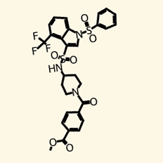 COC(=O)c1ccc(C(=O)N2CCC(NS(=O)(=O)c3cn(S(=O)(=O)c4ccccc4)c4cccc(C(F)(F)F)c34)CC2)cc1